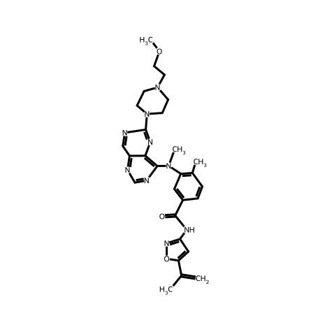 C=C(C)c1cc(NC(=O)c2ccc(C)c(N(C)c3ncnc4cnc(N5CCN(CCOC)CC5)nc34)c2)no1